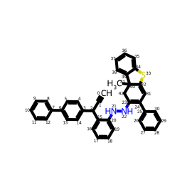 C#CC(c1ccc(-c2ccccc2)cc1)c1ccccc1NNC1=C(c2ccccc2)C=C2Sc3ccccc3C2(C)C1